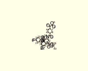 COC(=O)C(=O)[C@H]1CC[C@H](C(=O)N2CCC3(S(=O)(=O)c4ccc(F)cc4)c4ccc(Br)cc4N(C(=O)OC(C)(C)C)CC23)CC1